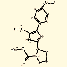 CCOC(=O)c1ccc(-c2nc(C3CCCN3C(=O)OC(C)(C)C)[nH]c2C(=O)O)cc1